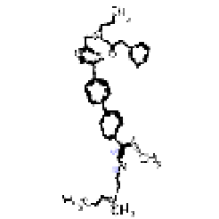 CCCN(C)C/C=N/C=C(\SC)c1ccc(-c2ccc(-c3cnc(CN(CCC)C(=O)Cc4ccccc4)s3)cc2)cc1